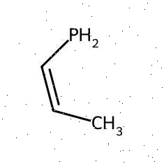 C/C=C\P